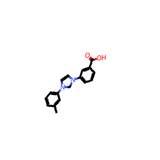 Cc1cccc(N2C=CN(c3cccc(C(=O)O)c3)C2)c1